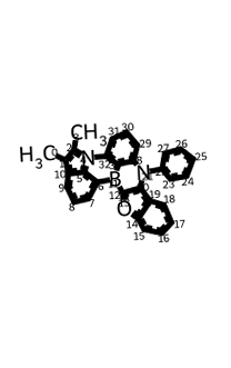 Cc1c(C)n2c3c(cccc13)B1c3oc4ccccc4c3N(c3ccccc3)c3cccc-2c31